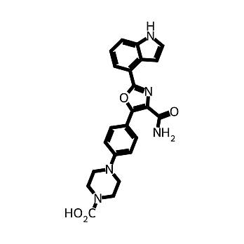 NC(=O)c1nc(-c2cccc3[nH]ccc23)oc1-c1ccc(N2CCN(C(=O)O)CC2)cc1